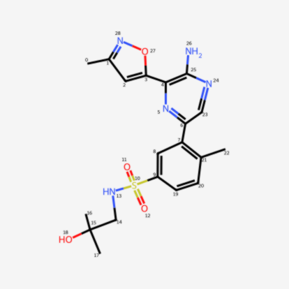 Cc1cc(-c2nc(-c3cc(S(=O)(=O)NCC(C)(C)O)ccc3C)cnc2N)on1